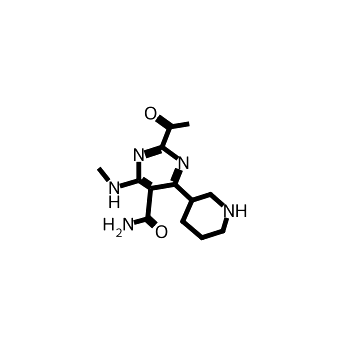 CNc1nc(C(C)=O)nc(C2CCCNC2)c1C(N)=O